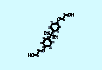 CCC(CC)(c1ccc(OCCO)cc1)c1ccc(OCCO)cc1